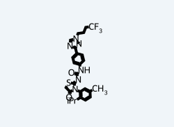 Cc1ccc(C(C)C)c(N2C(=O)CS/C2=N\C(=O)Nc2ccc(-c3ncn(CCCC(F)(F)F)n3)cc2)c1